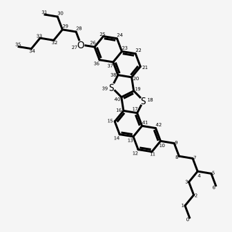 CCCCC(CC)CCCc1ccc2ccc3c(sc4c5ccc6ccc(OCC(CC)CCCC)cc6c5sc34)c2c1